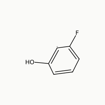 Oc1[c]c(F)ccc1